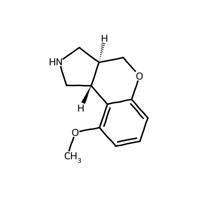 COc1cccc2c1[C@@H]1CNC[C@H]1CO2